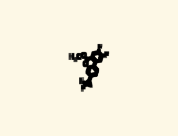 COC(=O)c1cc(F)c(F)cc1-c1ccc(C2CC2(F)F)cc1